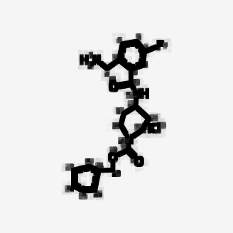 Cl.NCc1ccc(F)cc1C(=O)NC1CCN(C(=O)OCc2ccccc2)CC1